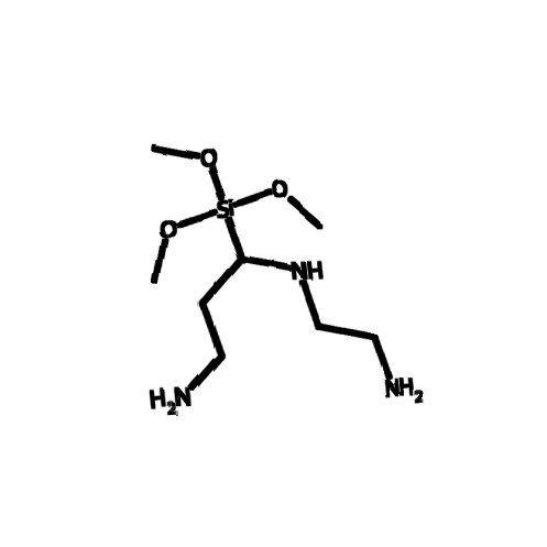 CO[Si](OC)(OC)C(CCN)NCCN